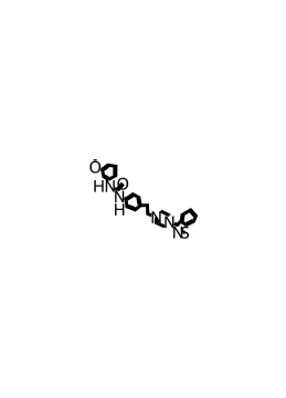 COc1cccc(NC(=O)Nc2ccc(CCN3CCN(c4nsc5ccccc45)CC3)cc2)c1